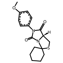 COc1ccc(N2C(=O)[C@@H]3CSC4(CCCCC4)N3C2=O)cc1